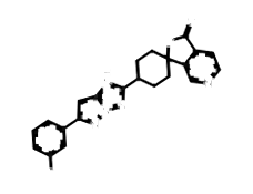 O=C1OC2(CCC(c3nn4nc(-c5cccc(F)c5)cc4[nH]3)CC2)c2cnccc21